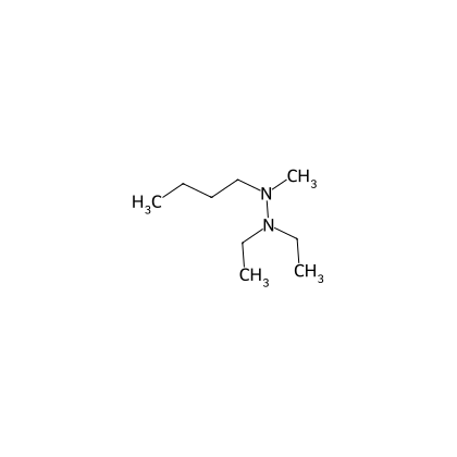 CCCCN(C)N(CC)CC